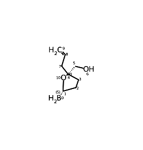 B[C@H]1CC[C@](CO)(CC=C)O1